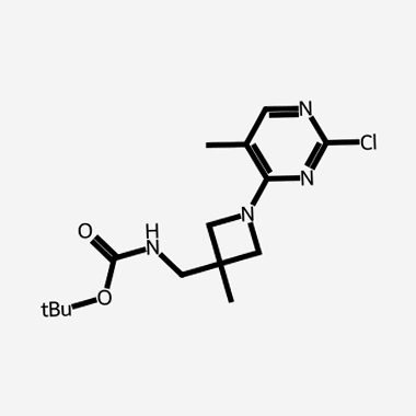 Cc1cnc(Cl)nc1N1CC(C)(CNC(=O)OC(C)(C)C)C1